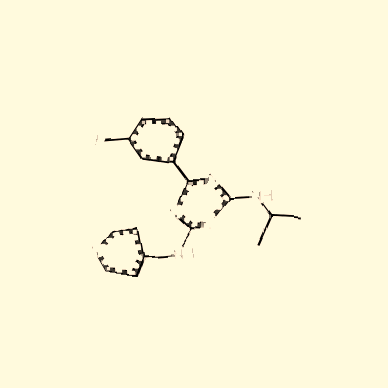 CC(C)Nc1nc(Nc2ccncc2)nc(-c2cccc(F)c2)n1